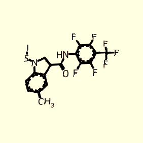 Cc1ccc2c(c1)C(C(=O)Nc1c(F)c(F)c(C(F)(F)F)c(F)c1F)CN2SI